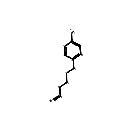 [CH]=CCCCCc1ccc(C(C)C)cc1